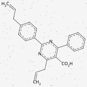 C=CCc1ccc(-c2nc(CC=C)c(C(=O)O)c(-c3ccccc3)n2)cc1